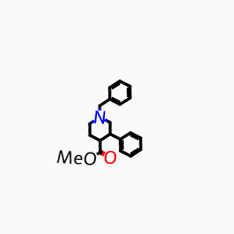 COC(=O)C1CCN(Cc2ccccc2)CC1c1ccccc1